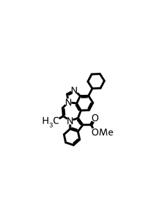 COC(=O)c1c2c(n3c(C)cn4cnc5c(C6CCCCC6)ccc(c54)c13)CCC=C2